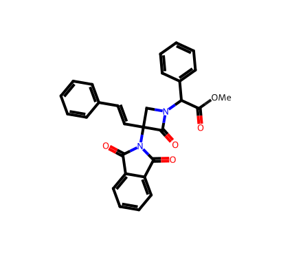 COC(=O)C(c1ccccc1)N1CC(C=Cc2ccccc2)(N2C(=O)c3ccccc3C2=O)C1=O